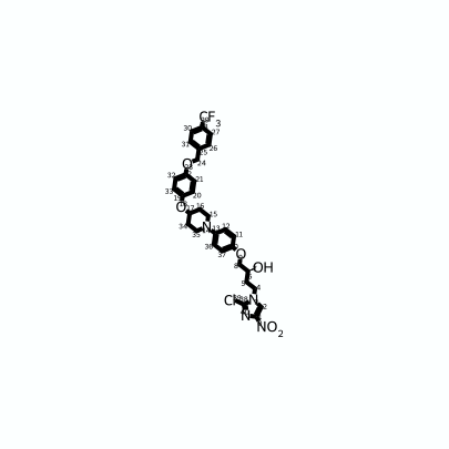 O=[N+]([O-])c1cn(CC[C@@H](O)COc2ccc(N3CCC(Oc4ccc(OCc5ccc(C(F)(F)F)cc5)cc4)CC3)cc2)c(Cl)n1